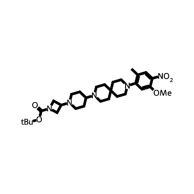 COc1cc(N2CCC3(CC2)CCN(C2CCN(C4CN(C(=O)OC(C)(C)C)C4)CC2)CC3)c(C)cc1[N+](=O)[O-]